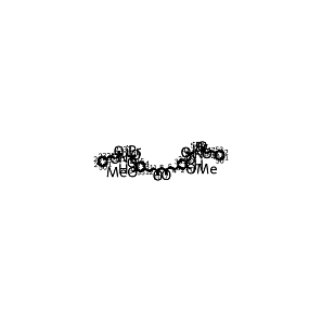 COc1cc(/C=C/C(=O)CC(=O)/C=C/c2ccc(OC(=O)[C@@H](NC(=O)OCc3ccccc3)C(C)C)c(OC)c2)ccc1OC(=O)[C@@H](NC(=O)OCc1ccccc1)C(C)C